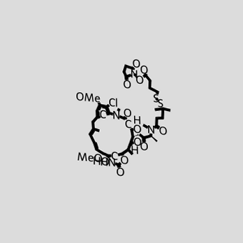 COc1cc2cc(c1Cl)N(C)C(=O)CC(O)[C@@]1(CC(=O)[C@H](C)N(C)C(=O)CCC(C)(C)SSCCCC(=O)ON3C(=O)CCC3=O)O[C@@H]1C(C)C1CC(O)(NC(=O)O1)C(OC)/C=C/C=C(\C)C2